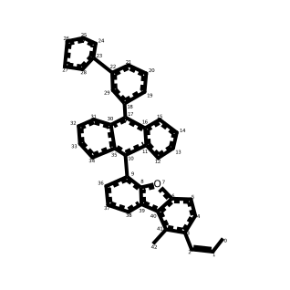 C/C=C\c1ccc2oc3c(-c4c5ccccc5c(-c5cccc(-c6ccccc6)c5)c5ccccc45)cccc3c2c1C